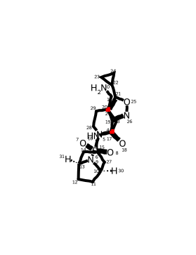 NCC1CCN(S(=O)(=O)N2[C@@H]3CC[C@H]2C[C@@H](NC(=O)c2cc(C4CC4)on2)C3)CC1